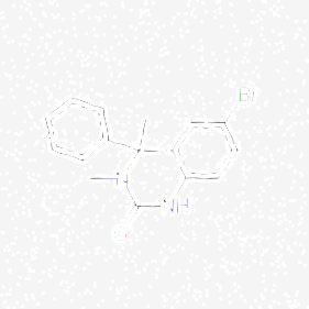 CN1C(=O)Nc2ccc(Br)cc2C1(C)c1ccccc1